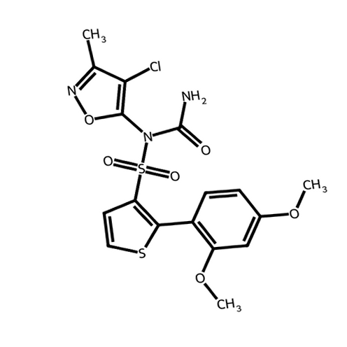 COc1ccc(-c2sccc2S(=O)(=O)N(C(N)=O)c2onc(C)c2Cl)c(OC)c1